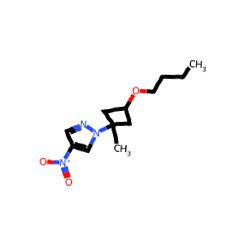 CCCCOC1CC(C)(n2cc([N+](=O)[O-])cn2)C1